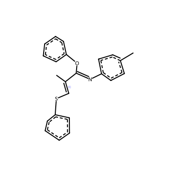 C/C(=C\Sc1ccccc1)C(=Nc1ccc(C)cc1)Oc1ccccc1